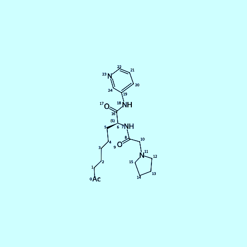 CC(=O)CCCCC[C@H](NC(=O)CN1CCCC1)C(=O)Nc1cccnc1